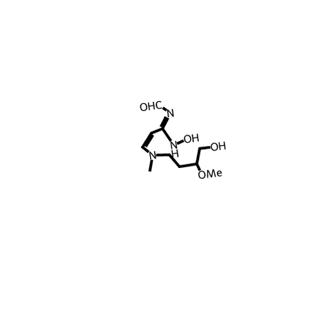 COC(CO)CCN(C)/C=C\C(=N/C=O)NO